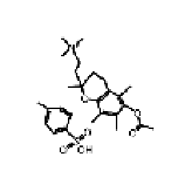 CC(=O)Oc1c(C)c(C)c2c(c1C)CCC(C)(CC[N+](C)(C)C)O2.Cc1ccc(S(=O)(=O)O)cc1